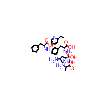 CC(N)C(=O)O.CCc1ccccn1.NC(Cc1ccccc1)C(=O)O.NC(Cc1ccccc1)C(=O)O.NC1CN[C@H](C(=O)O)C1